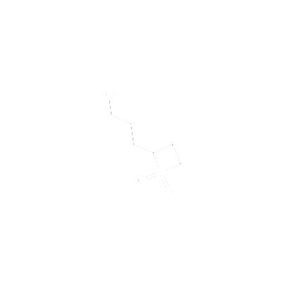 CCCCC1CCS1(=O)=O